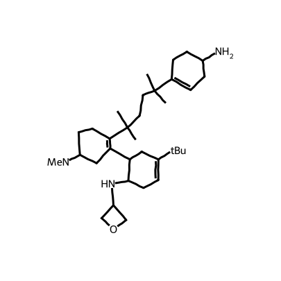 CNC1CCC(C(C)(C)CCC(C)(C)C2=CCC(N)CC2)=C(C2CC(C(C)(C)C)=CCC2NC2COC2)C1